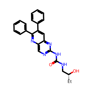 CC[C@@H](O)CNC(=O)Nc1ncc2nc(-c3ccccc3)c(-c3ccccc3)cc2n1